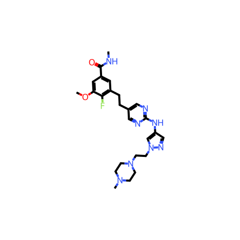 CNC(=O)c1cc(CCc2cnc(Nc3cnn(CCN4CCN(C)CC4)c3)nc2)c(F)c(OC)c1